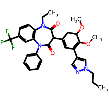 CCCn1cc(C2=C(OC)C(OC)CC(C3C(=O)N(CC)c4ccc(C(F)(F)F)cc4N(c4ccccc4)C3=O)=C2)cn1